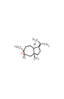 CC(C)=C1CC[C@]2(C)C[C@@H]3O[C@]3(C(=O)O)CC[C@@H]12